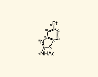 CCc1ccc2sc(NC(C)=O)nc2c1